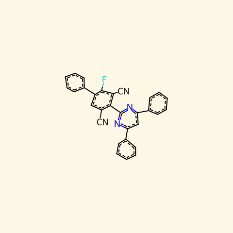 N#Cc1cc(-c2ccccc2)c(F)c(C#N)c1-c1nc(-c2ccccc2)cc(-c2ccccc2)n1